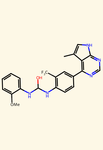 COc1ccccc1NC(O)Nc1ccc(-c2ncnc3[nH]cc(C)c23)cc1C(F)(F)F